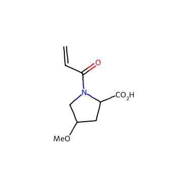 C=CC(=O)N1CC(OC)CC1C(=O)O